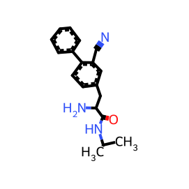 CC(C)NC(=O)C(N)Cc1ccc(-c2ccccc2)c(C#N)c1